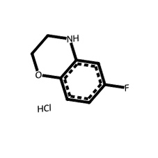 Cl.Fc1ccc2c(c1)NCCO2